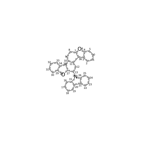 c1ccc2c(c1)oc1ccc3c(cc(-n4c5ccccc5c5ccccc54)c4oc5ccccc5c43)c12